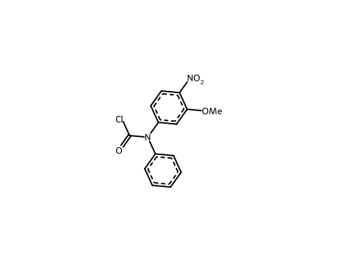 COc1cc(N(C(=O)Cl)c2ccccc2)ccc1[N+](=O)[O-]